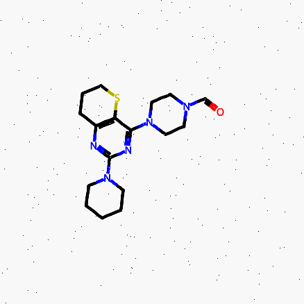 O=CN1CCN(c2nc(N3CCCCC3)nc3c2SCCC3)CC1